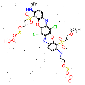 CCCNc1ccc2c(c1S(=O)(=O)CCOSOOO)Oc1c(Cl)c3c(c(Cl)c1=N2)Oc1c(ccc(NCCOSOOO)c1S(=O)(=O)CCOS(=O)(=O)O)N=3